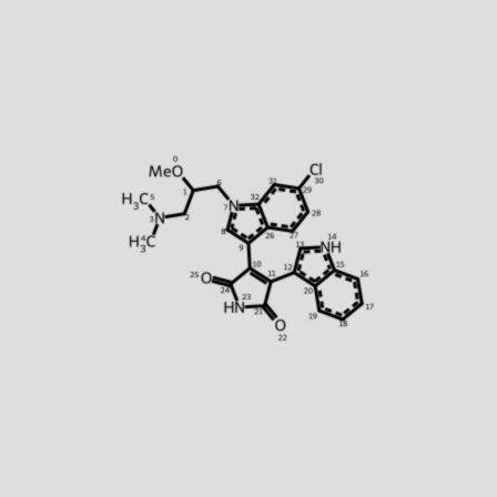 COC(CN(C)C)Cn1cc(C2=C(c3c[nH]c4ccccc34)C(=O)NC2=O)c2ccc(Cl)cc21